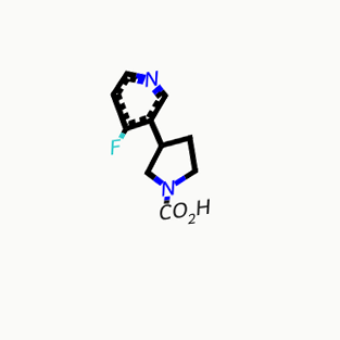 O=C(O)N1CCC(c2cnccc2F)C1